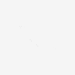 COc1ccc(C(C)(C)C)nn1